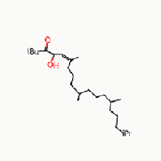 CC(=CC(O)C(=O)C(C)(C)C)CCCC(C)CCCC(C)CCCC(C)C